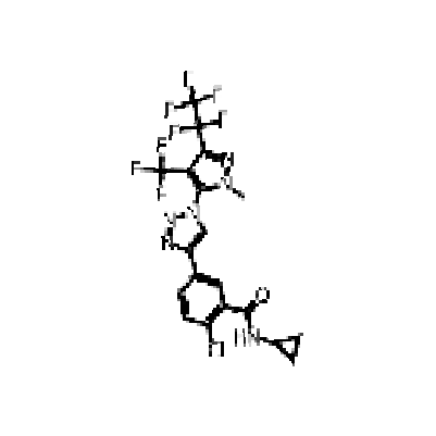 Cn1nc(C(F)(F)C(F)(F)F)c(C(F)(F)F)c1-n1cc(-c2ccc(Cl)c(C(=O)NC3CC3)c2)nn1